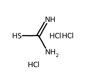 Cl.Cl.Cl.N=C(N)S